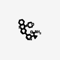 NC(=O)C1(c2cc(-c3ccc4nc5c(c(N6CCOCC6)c4c3)CCCC5)ccn2)CC1